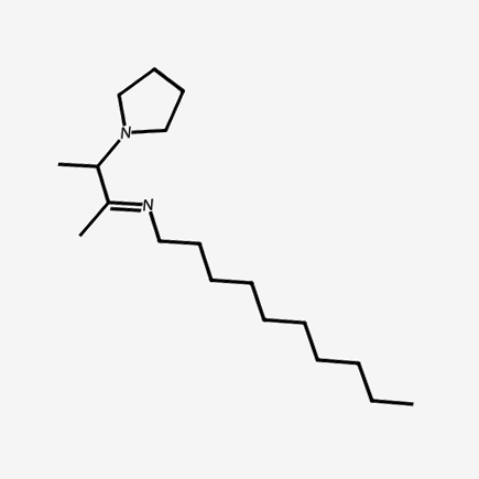 CCCCCCCCCCN=C(C)C(C)N1CCCC1